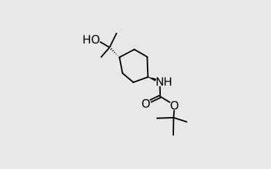 CC(C)(C)OC(=O)N[C@H]1CC[C@H](C(C)(C)O)CC1